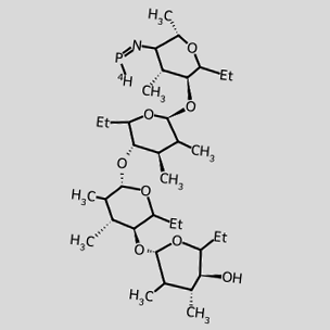 [4H]/P=N\C1[C@H](C)OC(CC)[C@@H](O[C@@H]2OC(CC)[C@@H](O[C@@H]3OC(CC)[C@@H](O[C@@H]4OC(CC)[C@@H](O)[C@H](C)C4C)[C@H](C)C3C)[C@H](C)C2C)[C@@H]1C